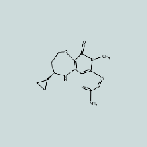 Cn1c(=O)c2c(c3cc(N)cnc31)N[C@@H](C1CC1)CCO2